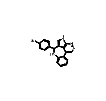 CC(C)(C)c1ccc(C2Nc3ccccc3-c3cnnc4[nH]cc2c34)cc1